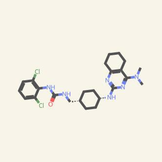 CN(C)c1nc(N[C@H]2CC[C@@H](CNC(=O)Nc3c(Cl)cccc3Cl)CC2)nc2c1CCCC2